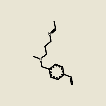 C=Cc1ccc(CN(C)CCCN=CC)cc1